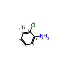 Nc1ccccc1Cl.[Ti]